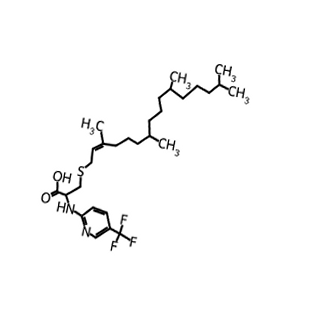 CC(=CCSCC(Nc1ccc(C(F)(F)F)cn1)C(=O)O)CCCC(C)CCCC(C)CCCC(C)C